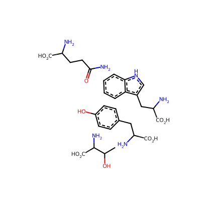 CC(O)C(N)C(=O)O.NC(=O)CCC(N)C(=O)O.NC(Cc1c[nH]c2ccccc12)C(=O)O.NC(Cc1ccc(O)cc1)C(=O)O